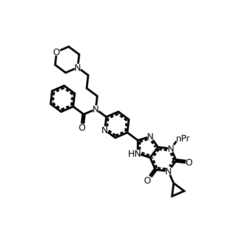 CCCn1c(=O)n(C2CC2)c(=O)c2[nH]c(-c3ccc(N(CCCN4CCOCC4)C(=O)c4ccccc4)nc3)nc21